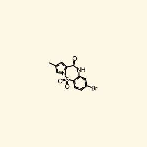 Cc1cc2n(c1)S(=O)(=O)c1ccc(Br)cc1NC2=O